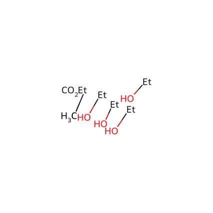 CCO.CCO.CCO.CCO.CCOC(C)=O